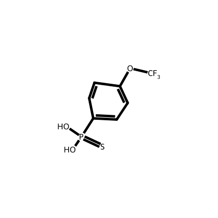 OP(O)(=S)c1ccc(OC(F)(F)F)cc1